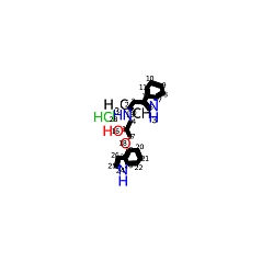 CC(C)(Cc1c[nH]c2ccccc12)NCC(O)COc1cccc2[nH]ccc12.Cl